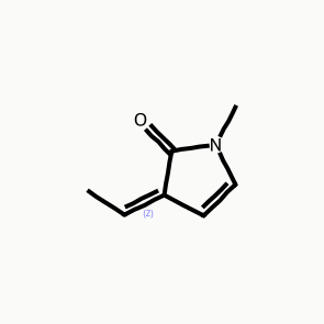 C/C=C1/C=CN(C)C1=O